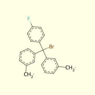 [CH2]c1cccc(C(Br)(c2ccc(F)cc2)c2cccc([CH2])c2)c1